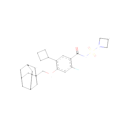 O=C(NS(=O)(=O)N1CCC1)c1cc(C2CCC2)c(OCC23CC4CC(CC(C4)C2)C3)cc1F